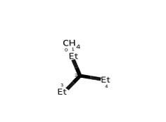 C.CCC(CC)CC